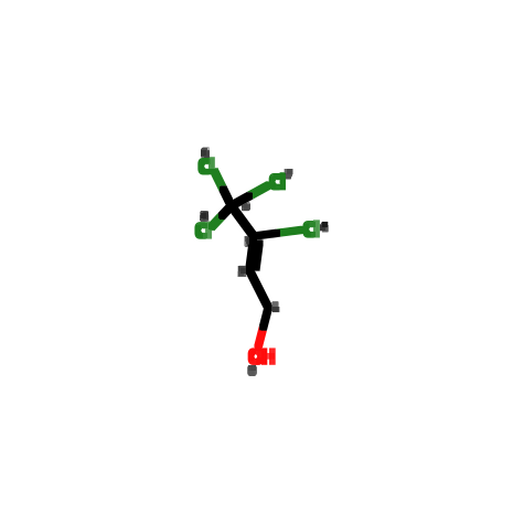 OCC=C(Cl)C(Cl)(Cl)Cl